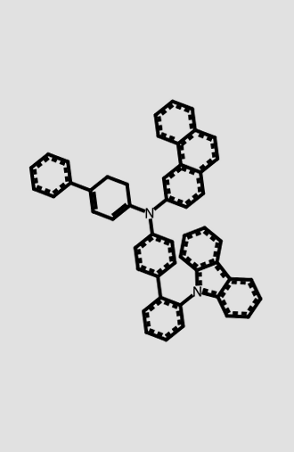 C1=C(c2ccccc2)CCC(N(c2ccc(-c3ccccc3-n3c4ccccc4c4ccccc43)cc2)c2ccc3ccc4ccccc4c3c2)=C1